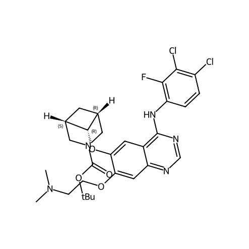 CN(C)CCOc1cc2ncnc(Nc3ccc(Cl)c(Cl)c3F)c2cc1O[C@H]1[C@@H]2C[C@H]1CN(C(=O)OC(C)(C)C)C2